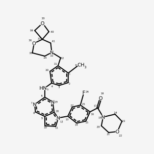 Cc1ccc(Nc2ncc3ccn(-c4ccc(C(=O)N5CCOCC5)c(F)c4)c3n2)cc1CN1CCOC2(COC2)C1